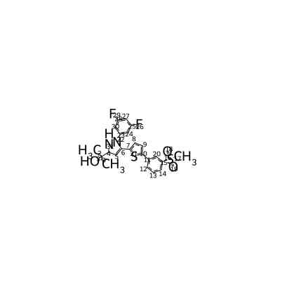 CC(C)(O)C1C=C(c2ccc(-c3cccc(S(C)(=O)=O)c3)s2)N(c2cc(F)cc(F)c2)N1